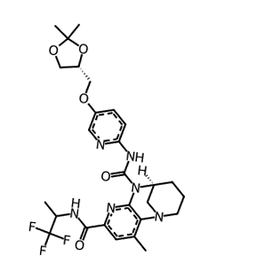 Cc1cc(C(=O)NC(C)C(F)(F)F)nc2c1N1CCC[C@@H](C1)N2C(=O)Nc1ccc(OC[C@@H]2COC(C)(C)O2)cn1